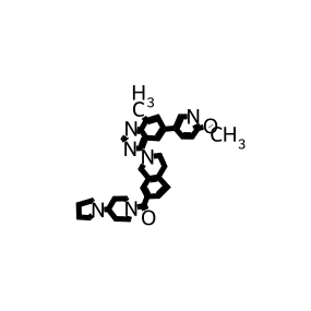 COc1ccc(-c2cc(C)c3ncnc(N4CCc5ccc(C(=O)N6CCC(N7CCCC7)CC6)cc5C4)c3c2)cn1